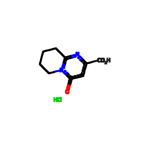 Cl.O=C(O)c1cc(=O)n2c(n1)CCCC2